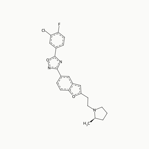 C[C@@H]1CCCN1CCc1cc2cc(-c3noc(-c4ccc(F)c(Cl)c4)n3)ccc2o1